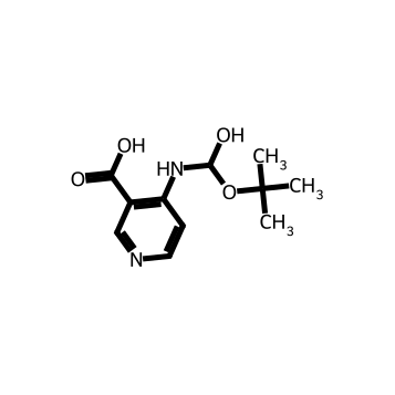 CC(C)(C)OC(O)Nc1ccncc1C(=O)O